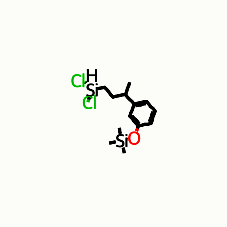 CC(CC[SiH](Cl)Cl)c1cccc(O[Si](C)(C)C)c1